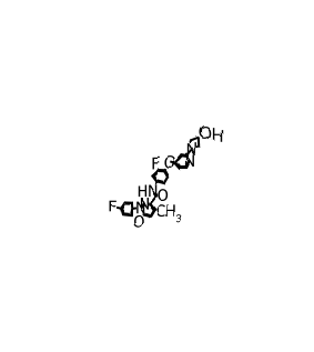 Cc1cc(=O)n(-c2ccc(F)cc2)nc1C(=O)Nc1ccc(Oc2ccnc(N3CC(O)C3)c2)c(F)c1